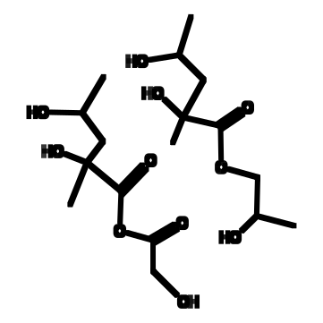 CC(O)CC(C)(O)C(=O)OC(=O)CO.CC(O)COC(=O)C(C)(O)CC(C)O